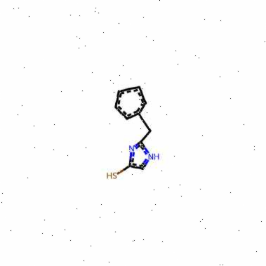 Sc1c[nH]c(Cc2ccccc2)n1